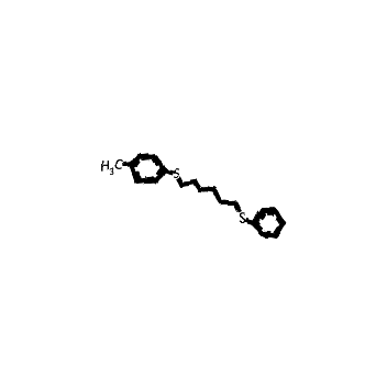 Cc1ccc(SCCCCCCSc2ccccc2)cc1